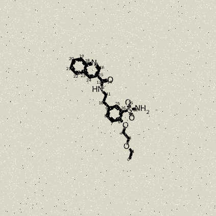 CCOCCOc1ccc(CCNC(=O)c2cnc3ccccc3c2)cc1S(N)(=O)=O